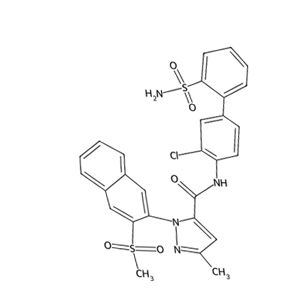 Cc1cc(C(=O)Nc2ccc(-c3ccccc3S(N)(=O)=O)cc2Cl)n(-c2cc3ccccc3cc2S(C)(=O)=O)n1